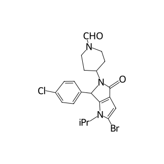 CC(C)n1c(Br)cc2c1C(c1ccc(Cl)cc1)N(C1CCN(C=O)CC1)C2=O